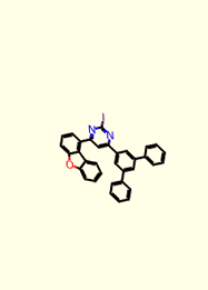 Ic1nc(-c2cc(-c3ccccc3)cc(-c3ccccc3)c2)cc(-c2cccc3oc4ccccc4c23)n1